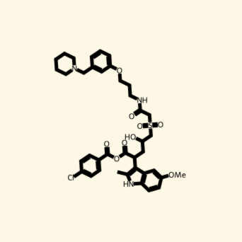 COc1ccc2[nH]c(C)c(C(CC(O)CS(=O)(=O)CC(=O)NCCCOc3cccc(CN4CCCCC4)c3)C(=O)OC(=O)c3ccc(Cl)cc3)c2c1